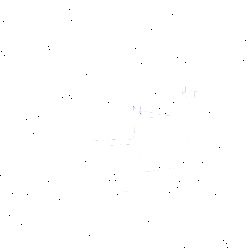 CC(C)C1=Nc2ccccc2CS1